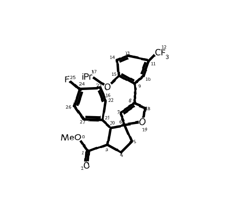 COC(=O)C1CCC2(C=C(c3cc(C(F)(F)F)ccc3OC(C)C)CO2)C1c1ccc(F)cc1